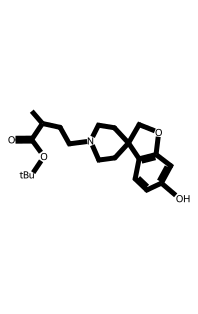 CC(CCN1CCC2(CC1)COc1cc(O)ccc12)C(=O)OC(C)(C)C